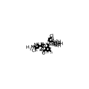 [2H]C([2H])([2H])n1nnc(-c2nc(Cl)ccc2NC(C)c2cc(C)cc3c(=O)n(C)c4c(-c5cnc(N)c(Cl)c5)ncn4c23)n1